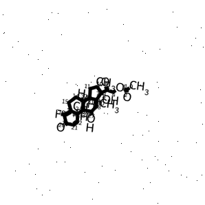 CC(=O)OCC(=O)[C@@]1(O)C(C)C[C@H]2[C@@H]3CCC4=C(F)C(=O)C=C[C@]4(C)[C@H]3C(O)C[C@@]21C